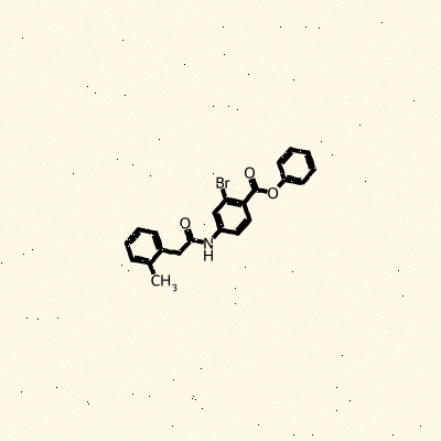 Cc1ccccc1CC(=O)Nc1ccc(C(=O)Oc2ccccc2)c(Br)c1